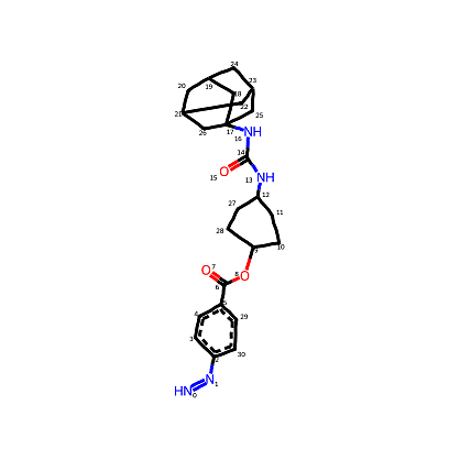 N=Nc1ccc(C(=O)OC2CCC(NC(=O)NC34CC5CC(CC(C5)C3)C4)CC2)cc1